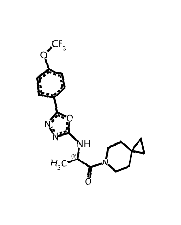 C[C@@H](Nc1nnc(-c2ccc(OC(F)(F)F)cc2)o1)C(=O)N1CCC2(CC1)CC2